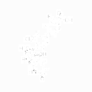 C[C@@H](c1ccc(-c2ccc(C(=O)O)c(F)c2)cc1Cl)[C@](O)(c1ccc(=O)[nH]c1)C(F)(F)F